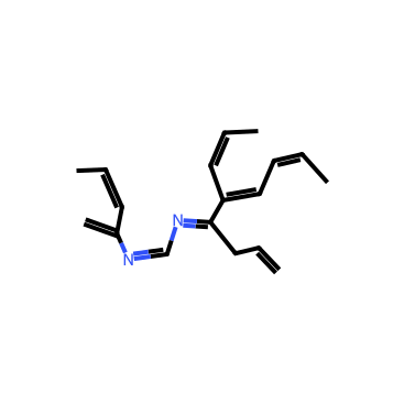 C=CCC(=N\C=N/C(=C)/C=C\C)/C(/C=C\C)=C/C=C\C